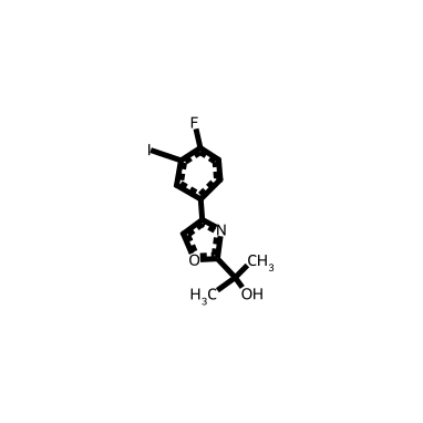 CC(C)(O)c1nc(-c2ccc(F)c(I)c2)co1